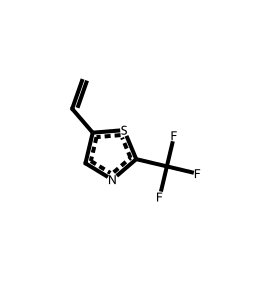 C=Cc1cnc(C(F)(F)F)s1